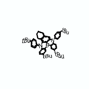 CC(C)(C)c1ccc(N2c3ccc(C(C)(C)C)cc3B3c4cc(C(C)(C)C)ccc4N(c4ccc(C(C)(C)C)cc4)c4c5c(cc2c43)CCC=C5)cc1